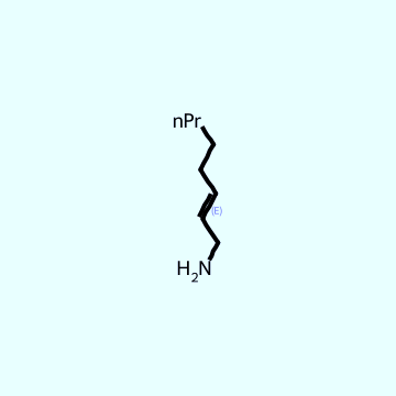 CCCCC/C=C/CN